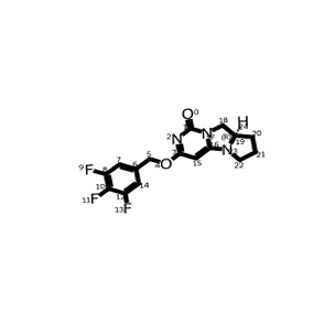 O=c1nc(OCc2cc(F)c(F)c(F)c2)cc2n1C[C@H]1CCCN21